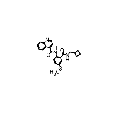 COc1ccc(NC(=O)c2ccnc3ccccc23)c(C(=O)NCC2CCC2)c1